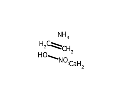 C=C.N.O=[N+]([O-])O.[CaH2]